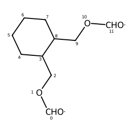 O=[C]OCC1CCCCC1CO[C]=O